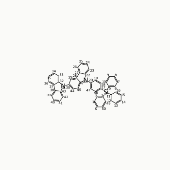 c1ccc([Si](c2ccccc2)(c2ccccc2)c2ccc(-n3c4ccccc4c4cc(-n5c6ccccc6c6ccccc65)ccc43)cc2)cc1